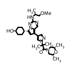 COC[C@H](C)Nc1ncc2c(-c3cnn(C(C)(C)C(=O)N4C[C@@H](C)O[C@@H](C)C4)c3)cc([C@H]3CC[C@H](O)CC3)n2n1